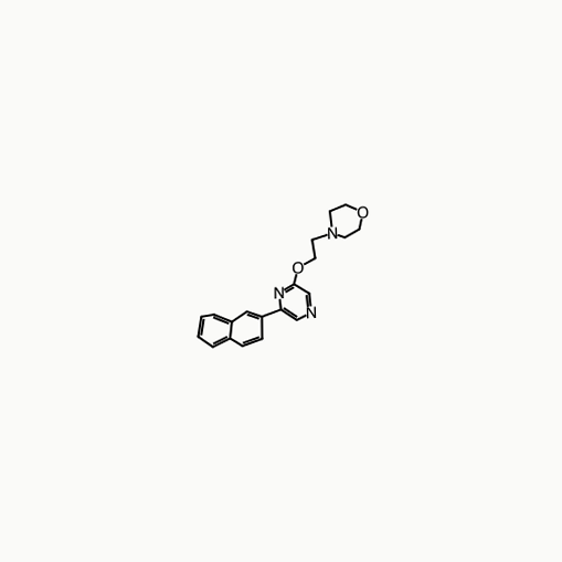 c1ccc2cc(-c3cncc(OCCN4CCOCC4)n3)ccc2c1